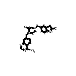 Nc1ncnc2cc(CN3CCN(Cc4ccc5sc(Cl)cc5c4)CC3=O)ccc12